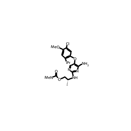 CNC(=O)OC[C@@H](C)Nc1ncc(Oc2cc(Cl)c(OC)cc2C(C)C)c(N)n1